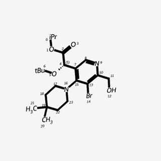 CC(C)OC(=O)[C@@H](OC(C)(C)C)c1cnc(CO)c(Br)c1N1CCC(C)(C)CC1